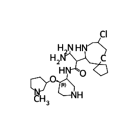 CN1CCCC(O[C@@H]2CCNCC2NC(=O)C(C(N)N)C2CC3(CCCC3)CCC(Cl)CN2)C1